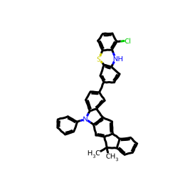 CC1(C)c2ccccc2-c2cc3c4cc(-c5ccc6c(c5)Sc5cccc(Cl)c5N6)ccc4n(-c4ccccc4)c3cc21